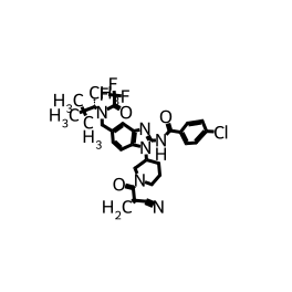 C=C(C#N)C(=O)N1CCCC(n2c(NC(=O)c3ccc(Cl)cc3)nc3cc(CN(C(=O)C(F)(F)F)[C@@H](C)C(C)(C)C)ccc32)C1